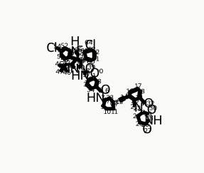 COc1cc(C(=O)N[C@H]2CCC[C@@H](C#Cc3cccc4c3CN(C3CCC(=O)NC3=O)C4=O)C2)ccc1NC(=O)[C@@H]1N[C@@H](CC(C)(C)C)[C@@]2(CNc3cc(Cl)ccc32)[C@H]1c1cccc(Cl)c1F